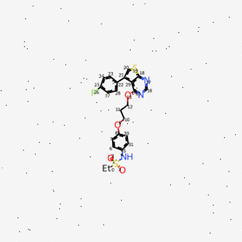 CCS(=O)(=O)Nc1ccc(OCCCOc2ncnc3scc(-c4ccc(F)cc4)c23)cc1